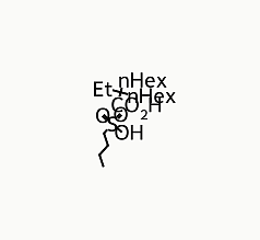 CCCCCCC(CC)(CCCCCC)C(=O)O.CCCCS(=O)(=O)O